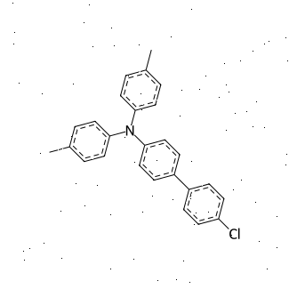 Cc1ccc(N(c2ccc(C)cc2)c2ccc(-c3ccc(Cl)cc3)cc2)cc1